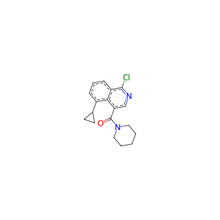 O=C(c1cnc(Cl)c2cccc(C3CC3)c12)N1CCCCC1